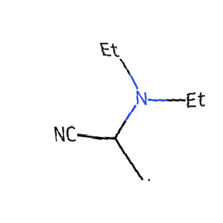 [CH2]C(C#N)N(CC)CC